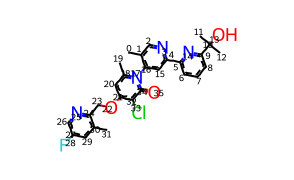 Cc1cnc(-c2cccc(C(C)(C)O)n2)cc1-n1c(C)cc(OCc2ncc(F)cc2C)c(Cl)c1=O